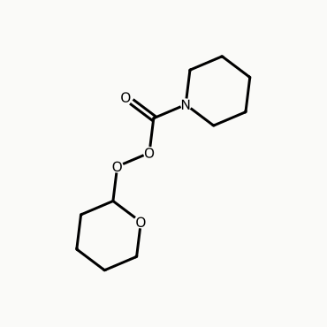 O=C(OOC1CCCCO1)N1CCCCC1